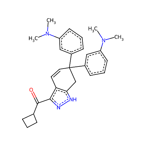 CN(C)c1cccc(C2(c3cccc(N(C)C)c3)C=Cc3c(C(=O)C4CCC4)n[nH]c3C2)c1